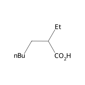 C[CH]CCCC(CC)C(=O)O